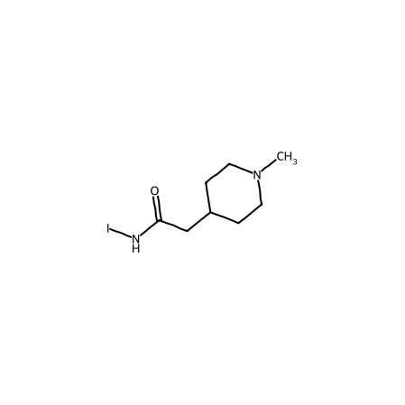 CN1CCC(CC(=O)NI)CC1